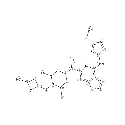 CCC1CC(N(C)c2nc(Nc3cc(CO)[nH]n3)c3ccsc3n2)CC(CC)N1SN1CC(C#N)C1